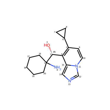 NC1([C@H](O)c2c(C3CC3)ccn3cncc23)CCCCC1